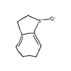 [O-][S+]1CCC2=CCCC=C21